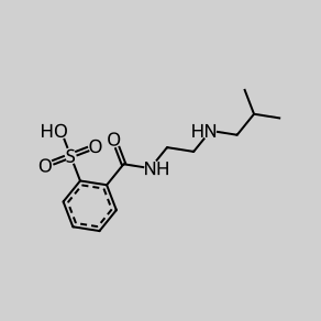 CC(C)CNCCNC(=O)c1ccccc1S(=O)(=O)O